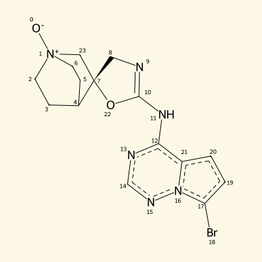 [O-][N+]12CCC(CC1)[C@]1(CN=C(Nc3ncnn4c(Br)ccc34)O1)C2